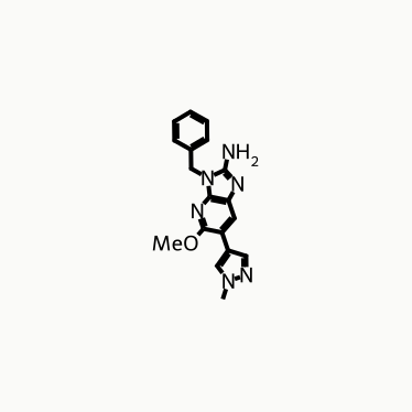 COc1nc2c(cc1-c1cnn(C)c1)nc(N)n2Cc1ccccc1